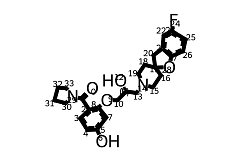 O=C(c1ccc(O)cc1OC[C@@H](O)CN1CCC2(CC1)Cc1cc(F)ccc1O2)N1CCCC1